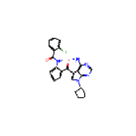 Nc1ncnc2c1c(C(=O)c1ccccc1NC(=O)c1ccccc1Cl)cn2C1CCCC1